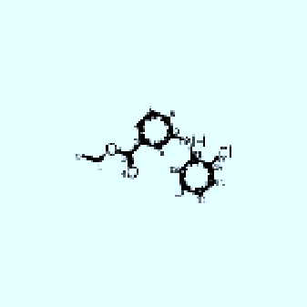 CCOC(=O)c1cccc(Nc2ccccc2Cl)c1